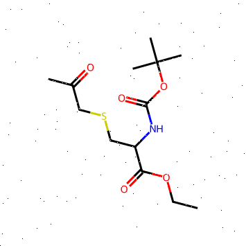 CCOC(=O)C(CSCC(C)=O)NC(=O)OC(C)(C)C